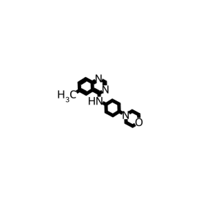 Cc1ccc2ncnc(NC3CCC(N4CCOCC4)CC3)c2c1